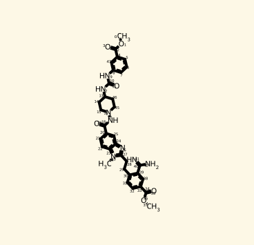 COC(=O)c1cccc(NC(=O)NC2CCN(NC(=O)c3ccc4c(c3)nc(CCc3ccc(C(=O)OC)cc3C(=N)N)n4C)CC2)c1